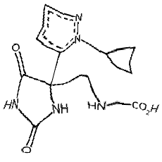 O=C(O)NCC1(c2ccnn2C2CC2)NC(=O)NC1=O